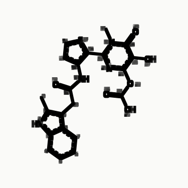 Cc1[nH]c2ccccc2c1CC(=O)Nc1ccsc1-c1nc(OC(=O)O)c(O)c(=O)n1C